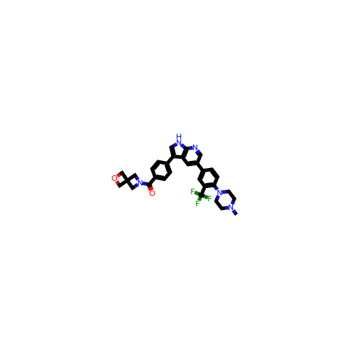 CN1CCN(c2ccc(-c3cnc4[nH]cc(-c5ccc(C(=O)N6CC7(COC7)C6)cc5)c4c3)cc2C(F)(F)F)CC1